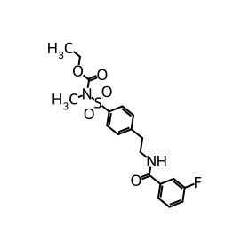 CCOC(=O)N(C)S(=O)(=O)c1ccc(CCNC(=O)c2cccc(F)c2)cc1